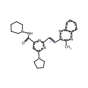 Cc1nc2ccccc2nc1/C=C/c1nc(C(=O)NN2CCCCC2)cc(N2CCCC2)n1